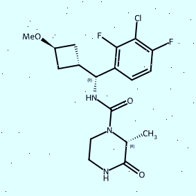 CO[C@H]1C[C@H]([C@@H](NC(=O)N2CCNC(=O)[C@H]2C)c2ccc(F)c(Cl)c2F)C1